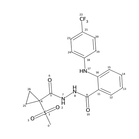 CS(=O)(=O)C1(C(=O)NNC(=O)c2ccccc2Nc2ccc(C(F)(F)F)cc2)CC1